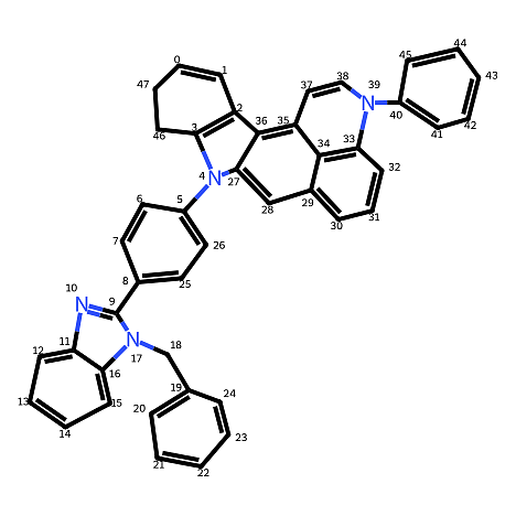 C1=Cc2c(n(-c3ccc(-c4nc5ccccc5n4Cc4ccccc4)cc3)c3cc4cccc5c4c(c23)C=CN5c2ccccc2)CC1